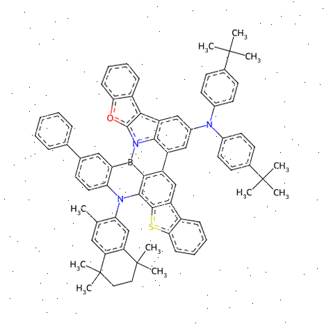 Cc1cc2c(cc1N1c3ccc(-c4ccccc4)cc3B3c4c(cc5c(sc6ccccc65)c41)-c1cc(N(c4ccc(C(C)(C)C)cc4)c4ccc(C(C)(C)C)cc4)cc4c5c6ccccc6oc5n3c14)C(C)(C)CCC2(C)C